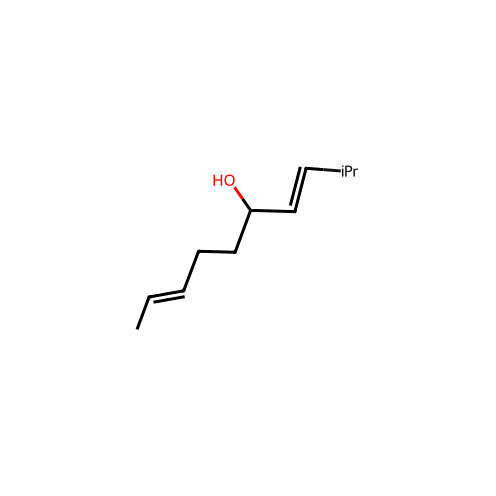 C/C=C/CCC(O)/C=C/C(C)C